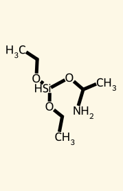 CCO[SiH](OCC)OC(C)N